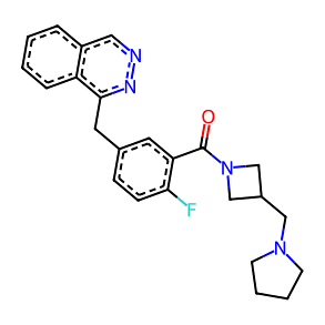 O=C(c1cc(Cc2nncc3ccccc23)ccc1F)N1CC(CN2CCCC2)C1